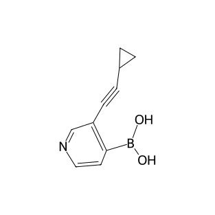 OB(O)c1ccncc1C#CC1CC1